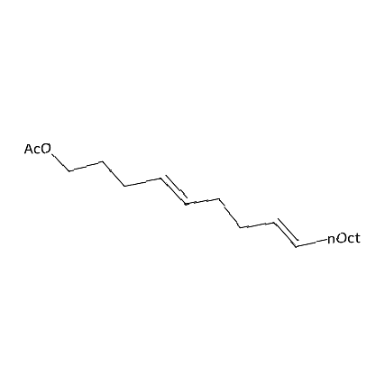 CCCCCCCCC=CCCC=CCCCOC(C)=O